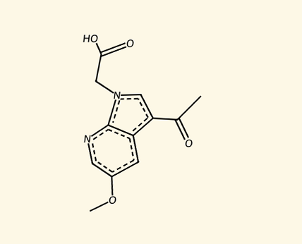 COc1cnc2c(c1)c(C(C)=O)cn2CC(=O)O